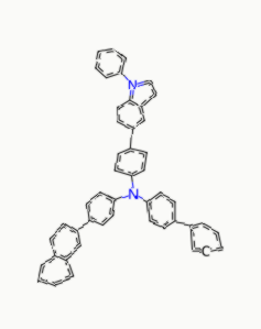 c1ccc(-c2ccc(N(c3ccc(-c4ccc5ccccc5c4)cc3)c3ccc(-c4ccc5c(ccn5-c5ccccc5)c4)cc3)cc2)cc1